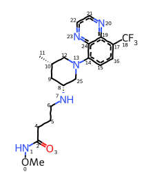 CONC(=O)CCCN[C@@H]1C[C@H](C)CN(c2ccc(C(F)(F)F)c3nccnc23)C1